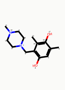 Cc1cc(O)c(CN2CCN(C)CC2)c(C)c1O